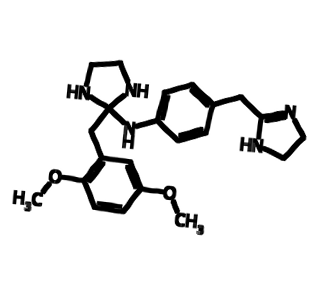 COc1ccc(OC)c(CC2(Nc3ccc(CC4=NCCN4)cc3)NCCN2)c1